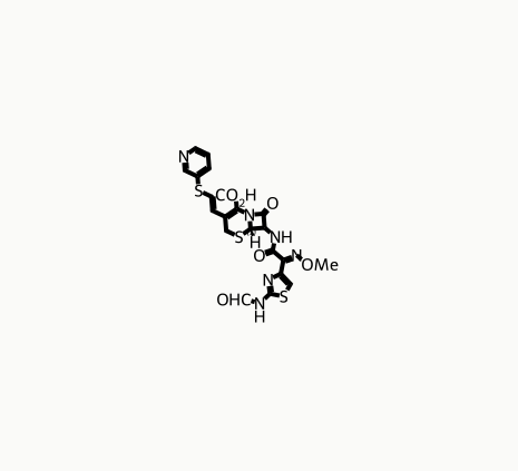 CON=C(C(=O)NC1C(=O)N2C(C(=O)O)=C(C=CSc3cccnc3)CS[C@@H]12)c1csc(NC=O)n1